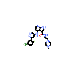 CN1CCN(CCNC(=O)c2c[nH]c3nccc(Nc4cnnc(-c5cc(Cl)ccc5F)c4)c23)CC1